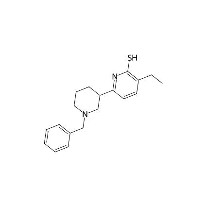 CCc1ccc(C2CCCN(Cc3ccccc3)C2)nc1S